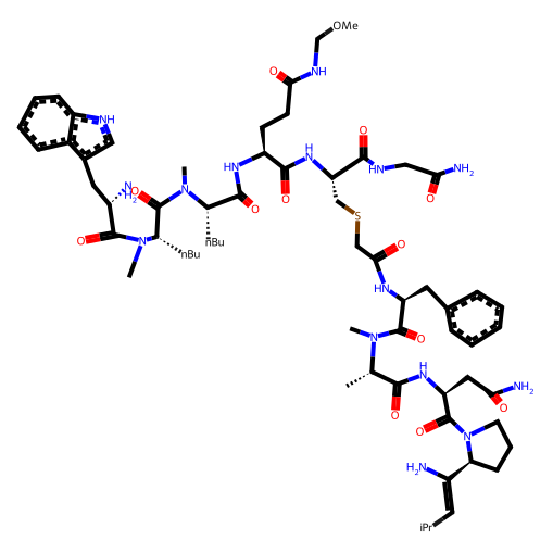 CCCC[C@@H](C(=O)N(C)[C@@H](CCCC)C(=O)N[C@@H](CCC(=O)NCOC)C(=O)N[C@@H](CSCC(=O)N[C@@H](Cc1ccccc1)C(=O)N(C)[C@@H](C)C(=O)N[C@@H](CC(N)=O)C(=O)N1CCC[C@H]1/C(N)=C/C(C)C)C(=O)NCC(N)=O)N(C)C(=O)[C@@H](N)Cc1c[nH]c2ccccc12